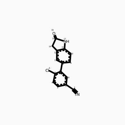 N#Cc1ccc(Cl)c(-c2ccc3c(c2)CC(=O)N3)c1